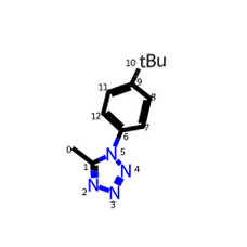 Cc1nnnn1-c1ccc(C(C)(C)C)cc1